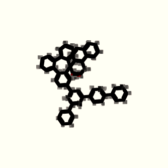 c1ccc(-c2nc(-c3ccc(-c4cccnc4)nc3)cc(-c3ccc4c(c3)C3(c5ccccc5Sc5c3ccc3ccccc53)c3ccccc3-c3ccccc3-4)n2)cc1